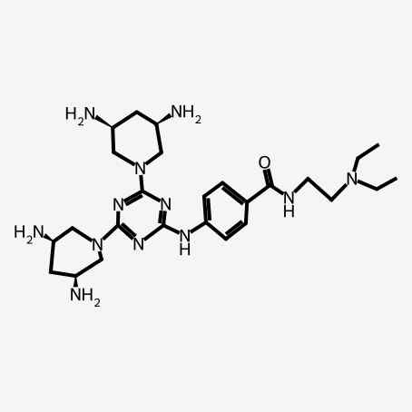 CCN(CC)CCNC(=O)c1ccc(Nc2nc(N3C[C@H](N)C[C@H](N)C3)nc(N3C[C@H](N)C[C@H](N)C3)n2)cc1